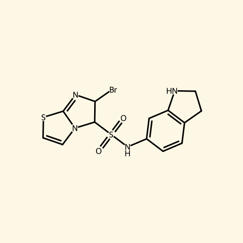 O=S(=O)(Nc1ccc2c(c1)NCC2)C1C(Br)N=C2SC=CN21